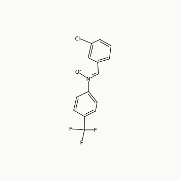 [O-][N+](=Cc1cccc(Cl)c1)c1ccc(C(F)(F)F)cc1